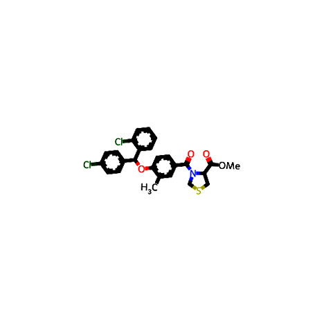 COC(=O)C1CSCN1C(=O)c1ccc(OC(c2ccc(Cl)cc2)c2ccccc2Cl)c(C)c1